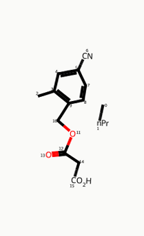 CCCC.Cc1cc(C#N)ccc1COC(=O)CC(=O)O